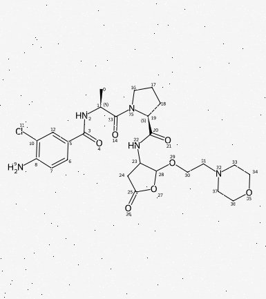 C[C@H](NC(=O)c1ccc(N)c(Cl)c1)C(=O)N1CCC[C@H]1C(=O)NC1CC(=O)OC1OCCN1CCOCC1